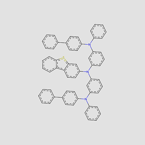 c1ccc(-c2ccc(N(c3ccccc3)c3cccc(N(c4cccc(N(c5ccccc5)c5ccc(-c6ccccc6)cc5)c4)c4ccc5c(c4)sc4ccccc45)c3)cc2)cc1